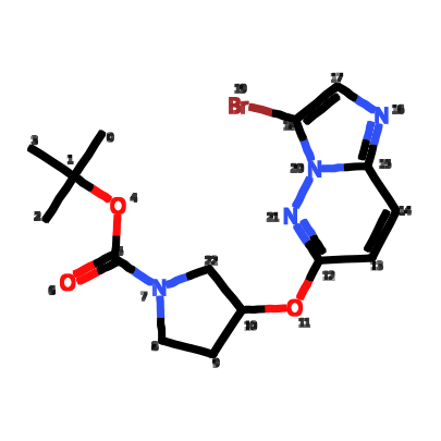 CC(C)(C)OC(=O)N1CCC(Oc2ccc3ncc(Br)n3n2)C1